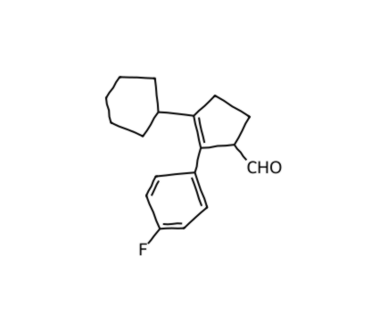 O=CC1CCC(C2CCCCC2)=C1c1ccc(F)cc1